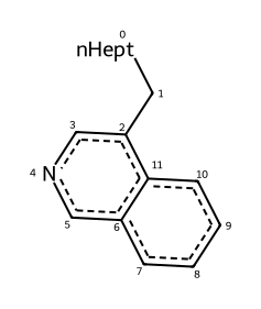 CCCCCCCCc1cncc2ccccc12